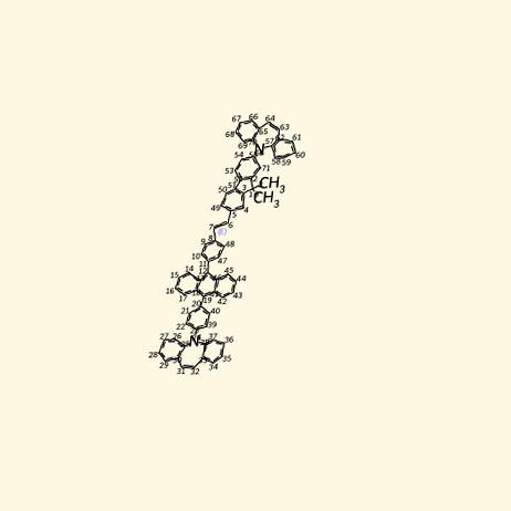 CC1(C)c2cc(/C=C/c3ccc(-c4c5ccccc5c(-c5ccc(N6c7ccccc7C=Cc7ccccc76)cc5)c5ccccc45)cc3)ccc2-c2ccc(N3c4ccccc4C=Cc4ccccc43)cc21